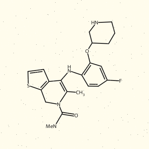 CNC(=O)N1Cc2sccc2C(Nc2ccc(F)cc2OC2CCCNC2)=C1C